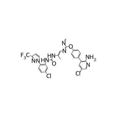 C=N/C(=N\C=C(/C)NC(=O)Nc1cc(Cl)ccc1-n1ccc(C(F)(F)F)n1)Oc1ccc(-c2cc(Cl)cnc2N)cc1